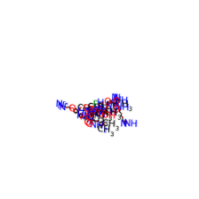 CCc1cc(OCCCCN=[N+]=[N-])ccc1-c1ccc(C[C@H](NC(=O)[C@H](CC(=O)O)NC(=O)[C@H](C)NC(=O)[C@@H](NC(=O)[C@](C)(Cc2ccccc2F)NC(=O)[C@@H](NC(=O)CNC(=O)[C@H](Cc2nn[nH]n2)NC(=O)C(C)(C)NC(=O)CCCCCCc2c[nH]cn2)[C@@H](C)O)[C@@H](C)O)C(=O)N[C@@H](CCCc2cc(C)cc(C)c2)C(N)=O)cc1